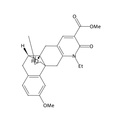 CCn1c2c(cc(C(=O)OC)c1=O)C[C@@]1(O)[C@H]3Cc4ccc(OC)cc4C1(CCN3C)C2